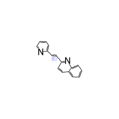 C(=C\c1ccc2ccccc2n1)/c1ccccn1